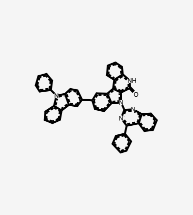 O=c1[nH]c2ccccc2c2c3cc(-c4ccc5c(c4)c4ccccc4n5-c4ccccc4)ccc3n(-c3nc(-c4ccccc4)c4ccccc4n3)c12